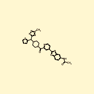 CC(=O)Nc1ccc2oc(-c3ccnc(C(=O)N4CCN(C(c5nnn(C)n5)c5cccs5)CC4)c3)nc2c1